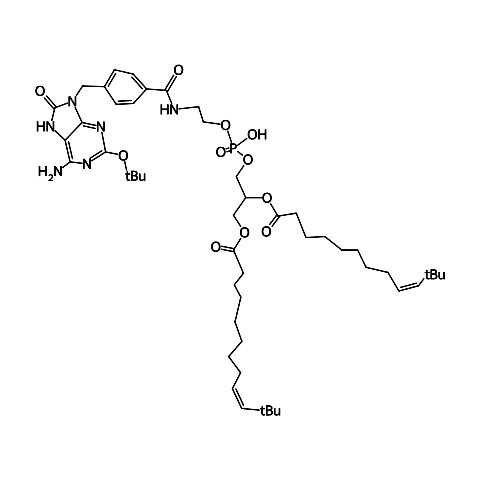 CC(C)(C)/C=C\CCCCCCCC(=O)OCC(COP(=O)(O)OCCNC(=O)c1ccc(Cn2c(=O)[nH]c3c(N)nc(OC(C)(C)C)nc32)cc1)OC(=O)CCCCCCC/C=C\C(C)(C)C